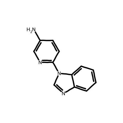 Nc1ccc(-n2cnc3ccccc32)nc1